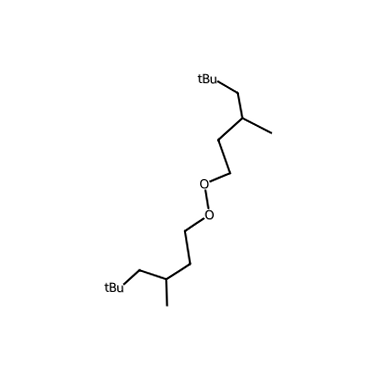 CC(CCOOCCC(C)CC(C)(C)C)CC(C)(C)C